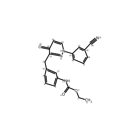 CCOC(=O)Nc1cccc(Cc2nn(-c3cccc(C#N)c3)ccc2=O)c1